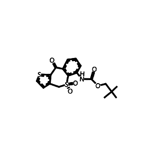 CC(C)(C)COC(=O)Nc1cccc2c1S(=O)(=O)Cc1ccsc1C2=O